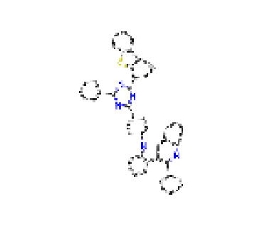 c1ccc(-c2nc(-c3ccc(-n4c5ccccc5c5c(-c6ccccc6)nc6ccccc6c54)cc3)nc(-c3cccc4c3sc3ccccc34)n2)cc1